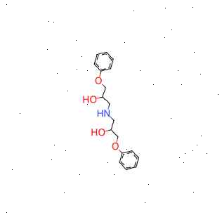 OC(CNCC(O)COc1ccccc1)COc1ccccc1